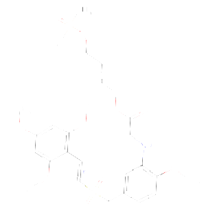 COc1cc(OC)c(/C=C/S(=O)(=O)Cc2ccc(OC)c(NCC(=O)OCCCCOP(C)(C)=O)c2)c(OC)c1